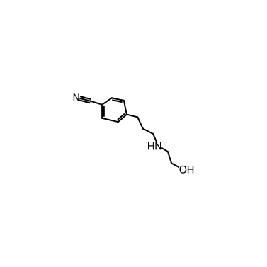 N#Cc1ccc(CCCNCCO)cc1